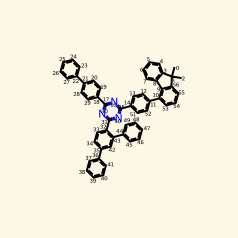 CC1(C)c2ccccc2-c2c(-c3ccc(-c4nc(-c5ccc(-c6ccccc6)cc5)nc(-c5ccc(-c6ccccc6)cc5-c5ccccc5)n4)cc3)cccc21